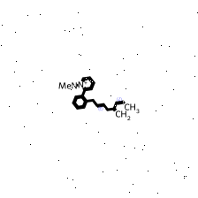 C=C(/C=C\C)C/C=C/Cc1ccccc1-c1cccc[n+]1NC